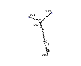 CCCCCCCC/C=C\CCCCCCCCOCC(OCCCCCCCC/C=C\CCCCCCCC)C(CCCCCCCCCCCC)OC(=O)COCCOCCOCCOCCOC(=O)CNCCOC(=O)CNCCOC